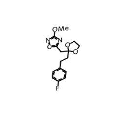 COc1noc(CC2(CCc3ccc(F)cc3)OCCO2)n1